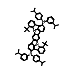 CC(C)c1ccc(N(c2cccc(C(C)C)c2)c2ccc3c4cc5c(cc4n4c6c(C(C)(C)C)cccc6c2c34)c2ccc(N(c3ccc(C(C)C)cc3)c3cccc(C(C)C)c3)c3c4cccc(C(C)(C)C)c4n5c23)cc1